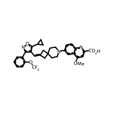 COc1cc(C(=O)O)nc2ccc(N3CCC4(CC3)CC(=Cc3c(-c5ccccc5OC(F)(F)F)noc3C3CC3)C4)cc12